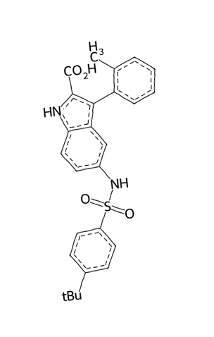 Cc1ccccc1-c1c(C(=O)O)[nH]c2ccc(NS(=O)(=O)c3ccc(C(C)(C)C)cc3)cc12